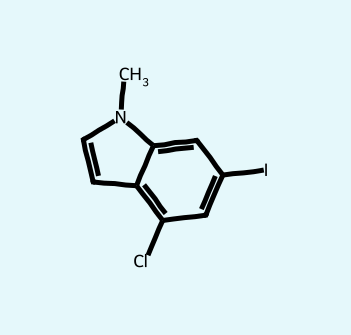 Cn1ccc2c(Cl)cc(I)cc21